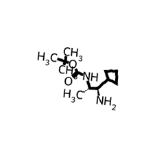 C[C@H](NC(=O)OC(C)(C)C)[C@H](N)C1CCC1